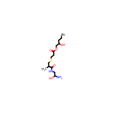 CCC(C)CCC(O)COC(=O)CCSCC(C)C(=O)NCC(N)O